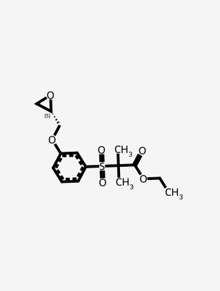 CCOC(=O)C(C)(C)S(=O)(=O)c1cccc(OC[C@@H]2CO2)c1